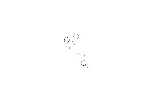 CN1C(=O)C(NC(=S)N2CCN(c3ccc(C(F)(F)F)cc3[N+](=O)[O-])CC2)N=C(c2ccccc2)c2cc(Cl)ccc21